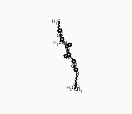 C=C(C)C(=O)OCCCCCCOc1ccc(C(=O)Oc2ccc(CNc3ccc(/N=N/c4ccc(/N=N/c5ccc(C(=O)Oc6ccc(CCCCC)cc6)cc5C)c5ccccc45)c4ccccc34)cc2)cc1